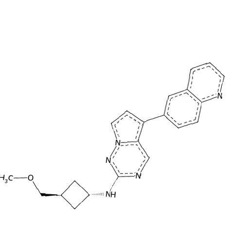 COC[C@H]1C[C@H](Nc2ncc3c(-c4ccc5ncccc5c4)ccn3n2)C1